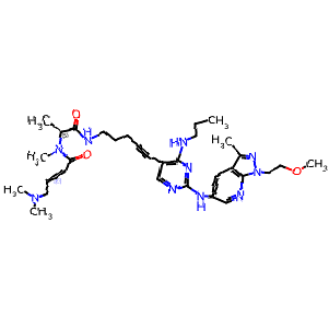 CCCNc1nc(Nc2cnc3c(c2)c(C)nn3CCOC)ncc1C#CCCCNC(=O)[C@H](C)N(C)C(=O)/C=C/CN(C)C